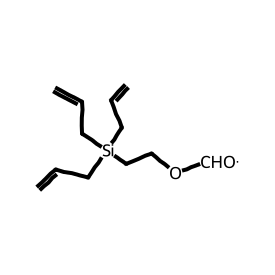 C=CC[Si](CC=C)(CC=C)CCO[C]=O